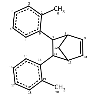 Cc1ccccc1C1C2C=CC(C2)C1c1ccccc1C